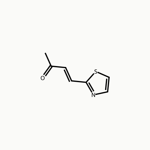 CC(=O)/C=C/c1nccs1